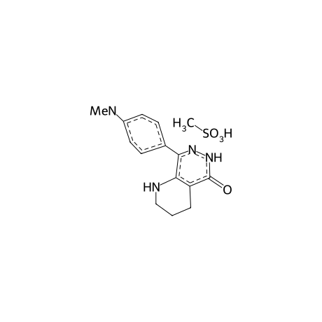 CNc1ccc(-c2n[nH]c(=O)c3c2NCCC3)cc1.CS(=O)(=O)O